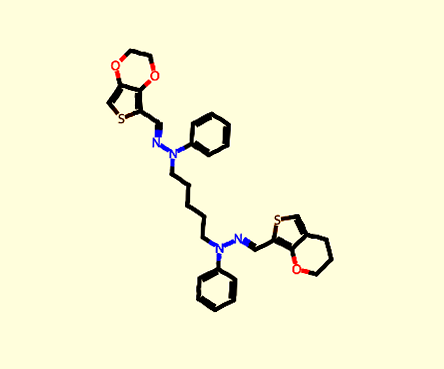 C(=N\N(CCCCCN(/N=C/c1scc2c1OCCO2)c1ccccc1)c1ccccc1)/c1scc2c1OCCC2